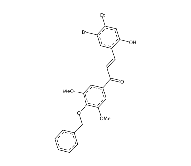 CCc1cc(O)c(C=CC(=O)c2cc(OC)c(OCc3ccccc3)c(OC)c2)cc1Br